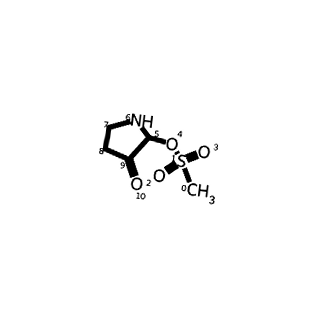 CS(=O)(=O)OC1NCCC1=O